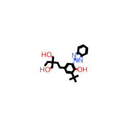 CCC(CO)(CO)CCc1cc(-n2nc3ccccc3n2)c(O)c(C(C)(C)C)c1